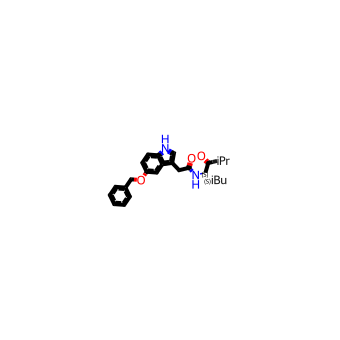 CC[C@H](C)[C@H](NC(=O)Cc1c[nH]c2ccc(OCc3ccccc3)cc12)C(=O)C(C)C